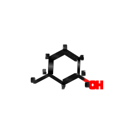 CC1=C=C=CC(O)=C1